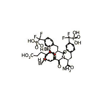 NC(=O)[C@H](Cc1ccc(C(F)(F)P(=O)(O)O)cc1)N(C(=O)c1cc(Br)cc(Br)c1)C(=O)[C@H](Cc1ccc(C(F)(F)P(=O)(O)O)cc1)NC(=O)[C@@H](N)CCC(=O)O